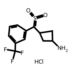 Cl.NC1CC(C(c2cccc(C(F)(F)F)c2)=S(=O)=O)C1